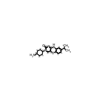 CC(C)c1ccc2c(c1)Nc1nc(=O)n(C3CCC(N)CC3)cc1O2